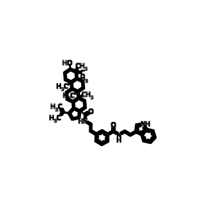 C=C(C)[C@@H]1CC[C@]2(C(=O)NCCc3cccc(C(=O)NCCc4c[nH]c5ccccc45)c3)CC[C@]3(C)C(CCC4[C@@]5(C)CC[C@H](O)C(C)(C)C5CC[C@]43C)C12